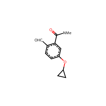 CNC(=O)c1cc(OC2CC2)ccc1C=O